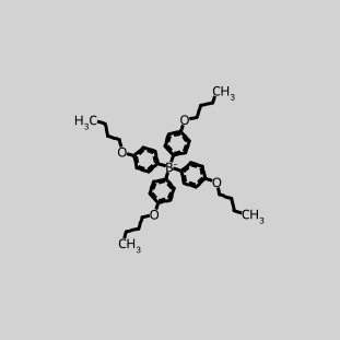 CCCCOc1ccc([B-](c2ccc(OCCCC)cc2)(c2ccc(OCCCC)cc2)c2ccc(OCCCC)cc2)cc1